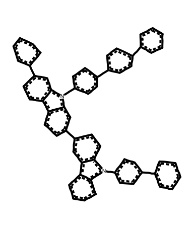 c1ccc(-c2ccc(-c3ccc(-n4c5cc(-c6ccccc6)ccc5c5ccc(-c6ccc7c(c6)c6ccccc6n7-c6ccc(-c7ccccc7)cc6)cc54)cc3)cc2)cc1